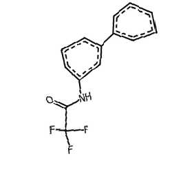 O=C(Nc1cccc(-c2ccccc2)c1)C(F)(F)F